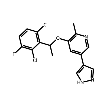 Cc1ncc(-c2cn[nH]c2)cc1OC(C)c1c(Cl)ccc(F)c1Cl